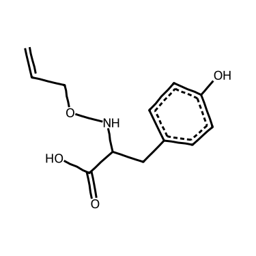 C=CCONC(Cc1ccc(O)cc1)C(=O)O